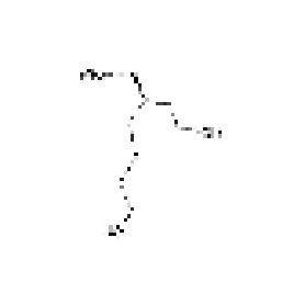 CC(C)(C)C[C@@H](CCO)CCCCO